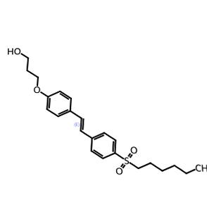 CCCCCCS(=O)(=O)c1ccc(/C=C/c2ccc(OCCCO)cc2)cc1